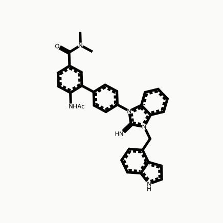 CC(=O)Nc1ccc(C(=O)N(C)C)cc1-c1ccc(-n2c(=N)n(Cc3cccc4[nH]ccc34)c3ccccc32)cc1